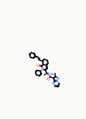 Cc1nn2cccnc2c1C(=O)N[C@@H](C)c1cc2cccc(/C=C/c3ccccc3)c2c(=O)n1-c1ccccc1